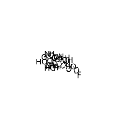 C[C@H]1c2ccc(NC(=O)Oc3ccc(F)cc3)c(O)c2C(=O)C2=C(O)[C@@]3(O)C(=O)C(C(N)=O)=C(O)[C@@H](N(C)C)[C@@H]3[C@@H](O)[C@@H]21